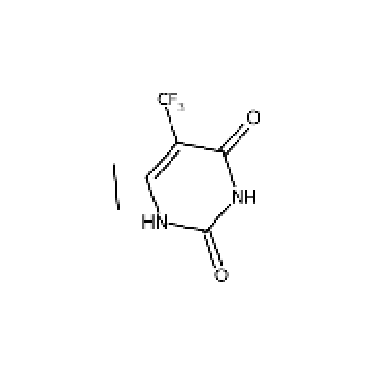 CC.O=c1[nH]cc(C(F)(F)F)c(=O)[nH]1